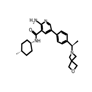 C[C@H](c1ccc(-c2cnc(N)c(C(=O)N[C@H]3CC[C@@H](C)CC3)c2)cc1)N1CC2(COC2)C1